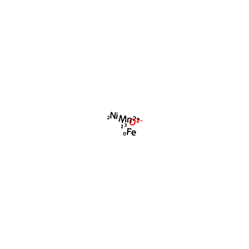 [Fe].[Mn+2].[Ni].[O-2]